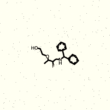 CC(OCCO)C(F)CNC(c1ccccc1)c1ccccc1